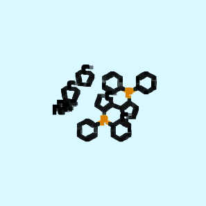 [Fe+2].[Fe+2].c1cc[cH-]c1.c1cc[cH-]c1.c1ccc(P(c2ccccc2)c2cc[cH-]c2-c2[cH-]ccc2P(c2ccccc2)c2ccccc2)cc1